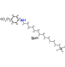 C[Si](C)(C)CCCCCCCCCCCCCCNc1ccc(C(=O)O)cc1.[NaH]